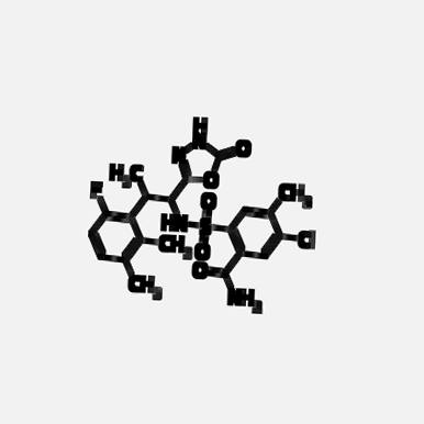 Cc1cc(S(=O)(=O)NC(c2n[nH]c(=O)o2)C(C)c2c(F)ccc(C)c2C)c(C(N)=O)cc1Cl